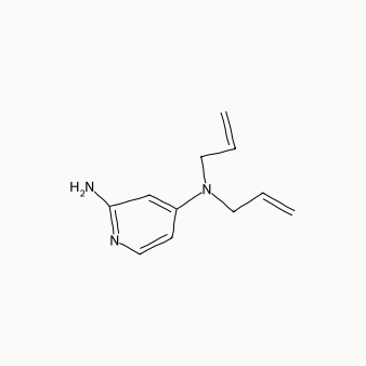 C=CCN(CC=C)c1ccnc(N)c1